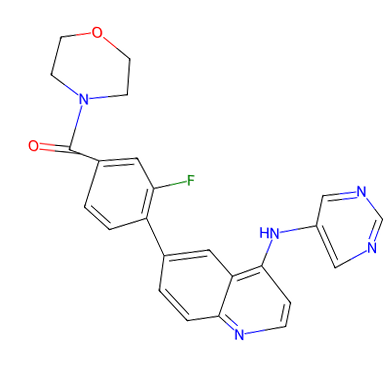 O=C(c1ccc(-c2ccc3nccc(Nc4cncnc4)c3c2)c(F)c1)N1CCOCC1